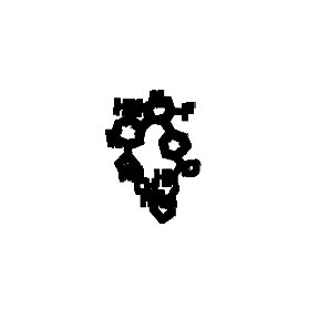 Cn1cc(-c2cc3c(cn2)[nH]c2ncc(F)c(-c4ccc(C(=O)NC[C@H]5CCCN5)cc4)c23)cn1